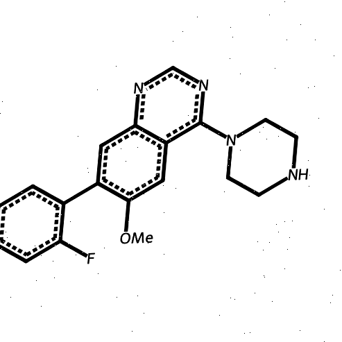 COc1cc2c(N3CCNCC3)ncnc2cc1-c1ccccc1F